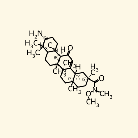 CON(C)C(=O)[C@@]1(C)CC[C@]2(C)CC[C@]3(C)C(=CC(=O)[C@@H]4[C@@]5(C)CC[C@@H](N)C(C)(C)C5CC[C@]43C)[C@@H]2C1